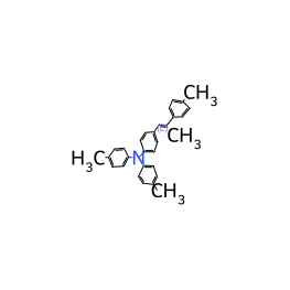 C/C(=C\c1ccc(N(c2ccc(C)cc2)c2ccc(C)cc2)cc1)c1ccc(C)cc1